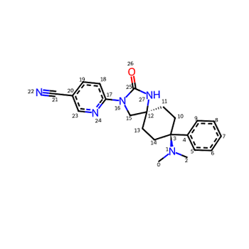 CN(C)[C@]1(c2ccccc2)CC[C@]2(CC1)CN(c1ccc(C#N)cn1)C(=O)N2